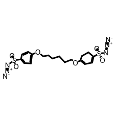 [N-]=[N+]=NS(=O)(=O)C1=CC=C(OCCCCCCOc2ccc(S(=O)(=O)N=[N+]=[N-])cc2)CC1